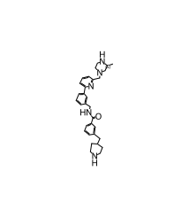 C[C@H]1CN(Cc2cccc(-c3cccc(CNC(=O)c4cccc(CC5CCNCC5)c4)c3)n2)CCN1